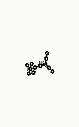 C1=C(c2ccc(-c3ccccc3)cc2)N=C(c2ccc(-c3ccc(-c4c(-c5ccccc5)c(-c5ccccc5)nc(-c5ccccc5)c4-c4ccccc4)cc3)cc2)NC1c1ccc(-c2ccccc2)cc1